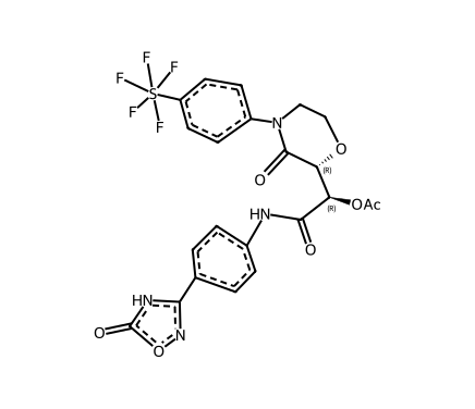 CC(=O)O[C@@H](C(=O)Nc1ccc(-c2noc(=O)[nH]2)cc1)[C@H]1OCCN(c2ccc(S(F)(F)(F)(F)F)cc2)C1=O